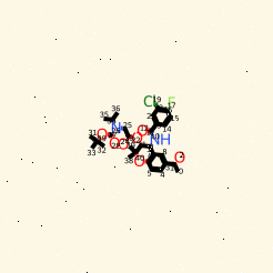 CC(=O)c1ccc2c(c1)[C@@H](NC(=O)c1ccc(F)c(Cl)c1)[C@H](OC(=O)CN(C(=O)OC(C)(C)C)C(C)C)C(C)(C)O2